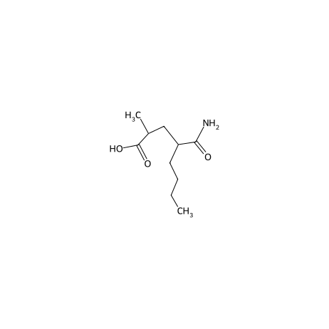 CCCCC(CC(C)C(=O)O)C(N)=O